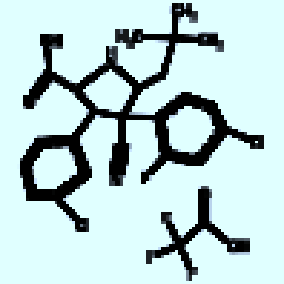 CC(C)(C)CC1NC(C(=O)O)C(c2cccc(Cl)c2)C1(C#N)c1ccc(Cl)cc1F.O=C(O)C(F)(F)F